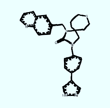 O=C1N(c2ccc(-c3cn[nH]c3)cc2)CC2(CCOCC2)N1Cc1ccc2ncccc2c1